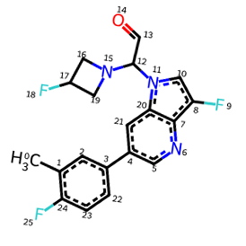 Cc1cc(-c2cnc3c(F)cn(C(C=O)N4CC(F)C4)c3c2)ccc1F